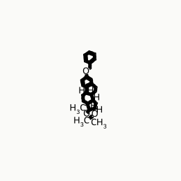 CC1(C)O[C@H]2C[C@H]3[C@@H]4CCc5cc(OCc6ccccc6)ccc5[C@H]4CC[C@]3(C)[C@H]2O1